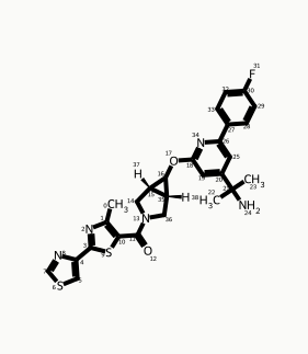 Cc1nc(-c2cscn2)sc1C(=O)N1C[C@@H]2C(Oc3cc(C(C)(C)N)cc(-c4ccc(F)cc4)n3)[C@@H]2C1